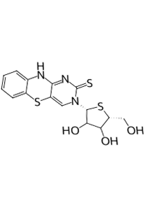 OC[C@H]1S[C@@H](n2cc3c(nc2=S)Nc2ccccc2S3)C(O)C1O